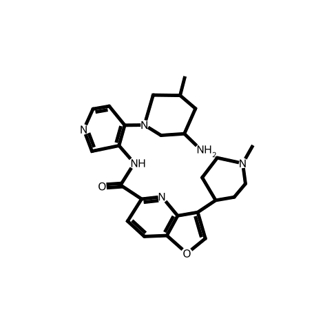 CC1CC(N)CN(c2ccncc2NC(=O)c2ccc3occ(C4CCN(C)CC4)c3n2)C1